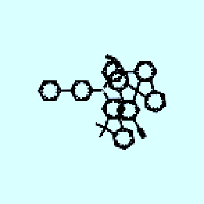 C#Cc1ccc2c(c1)C1(c3cc(C=C)ccc3-2)c2ccccc2-c2cccc(-c3cccc(N(c4ccc(-c5ccccc5)cc4)c4ccc5c(c4)C(C)(C)c4ccccc4-5)c3)c21